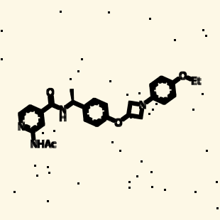 CCOc1ccc(N2CC(Oc3ccc([C@H](C)NC(=O)c4ccnc(NC(C)=O)c4)cc3)C2)cc1